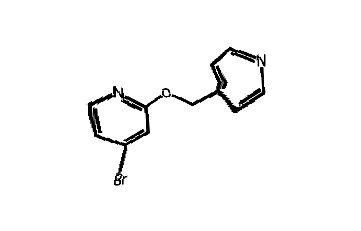 Brc1ccnc(OCc2ccncc2)c1